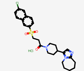 Cl.O=C(CCS(=O)(=O)c1ccc2cc(Cl)ccc2c1)N1CCC(c2cnc3n2CCCCC3)CC1